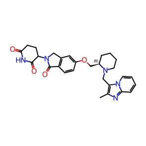 Cc1nc2ccccn2c1CN1CCCC[C@@H]1COc1ccc2c(c1)CN(C1CCC(=O)NC1=O)C2=O